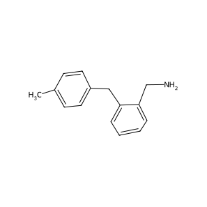 Cc1ccc(Cc2ccccc2CN)cc1